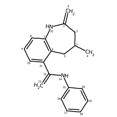 C=C1CC(C)Cc2c(cccc2C(=C)Nc2ccccc2)N1